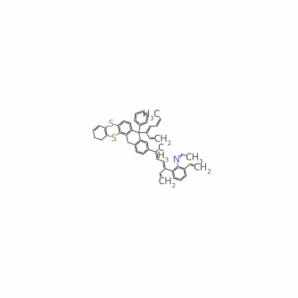 C=C/C(=C\C=C(/C)c1ccc2c(c1)C(/C(C=C)=C/C=C\C)(c1ccccc1)c1ccc3c(c1C2)SC1=C(C=CCC1)S3)c1cccc(C=C)c1/N=C\C